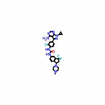 CN1CCN(C2CC(F)(F)c3cc(NC(=O)Nc4ccc(-c5nn(C6CC6)c6ncnc(N)c56)cc4F)ccc32)CC1